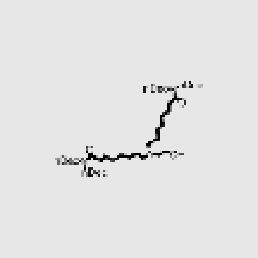 CCCCCCCCCCN(CCCCCCCCCC)C(=O)CCCCCCCN(CCO)CCCCCCCC(=O)N(CCCCCCCCCC)CCCCCCCCCC